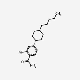 [2H]c1cc([C@H]2CC[C@H](CCCCC)CC2)ccc1C(N)=O